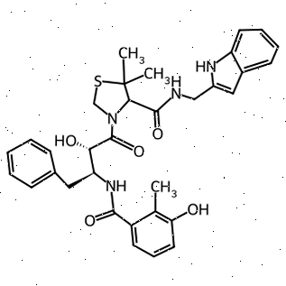 Cc1c(O)cccc1C(=O)N[C@@H](Cc1ccccc1)[C@H](O)C(=O)N1CSC(C)(C)C1C(=O)NCc1cc2ccccc2[nH]1